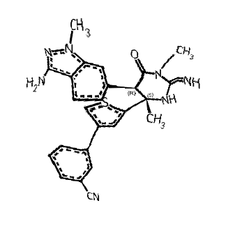 CN1C(=N)N[C@](C)(c2cc(-c3cccc(C#N)c3)cs2)[C@@H](c2ccc3c(N)nn(C)c3c2)C1=O